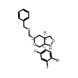 Fc1cc(F)c([C@]23CO[C@@H](COCc4ccccc4)C[C@H]2CON3)cc1Br